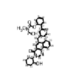 CCN(C)C(=O)Oc1ccccc1-c1cc(Cc2cc3c(=O)n(C4CCCCC4O)cnc3c3ccccc23)ccn1